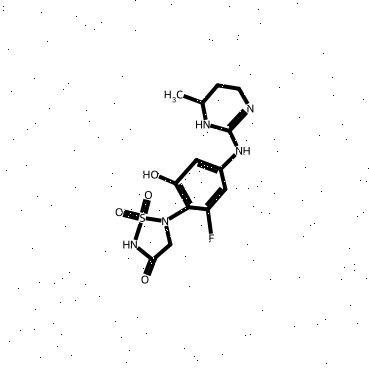 CC1CCN=C(Nc2cc(O)c(N3CC(=O)NS3(=O)=O)c(F)c2)N1